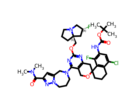 CN(C)C(=O)c1cc2n(n1)CCCN(c1nc(OC[C@@]34CCCN3C[C@H](F)C4)nc3c1COC1(CCCc4c(Cl)cc(NC(=O)OC(C)(C)C)c(F)c41)C3)C2